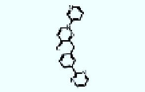 O=c1ccn(-c2cccnc2)nc1Cc1cccc(-c2ncccn2)c1